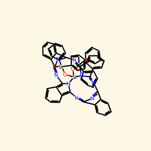 C[Si](O[Si]1(O[Si](C)(c2ccccc2)c2ccccc2)n2c3c4ccccc4c2/N=C2N=C(/N=c4/c5ccccc5/c(n41)=N/C1=NC(=N\3)/c3ccccc31)c1ccccc1\2)(c1ccccc1)c1ccccc1